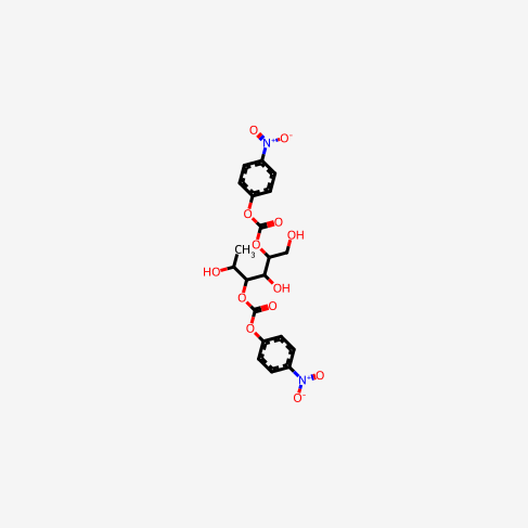 CC(O)C(OC(=O)Oc1ccc([N+](=O)[O-])cc1)C(O)C(CO)OC(=O)Oc1ccc([N+](=O)[O-])cc1